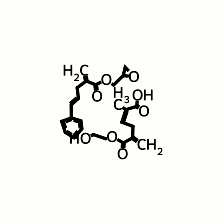 C=C(CC=C(C)C(=O)O)C(=O)OCCO.C=C(CC=Cc1ccccc1)C(=O)OCC1CO1